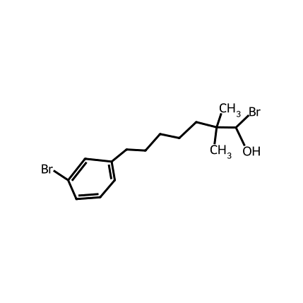 CC(C)(CCCCCc1cccc(Br)c1)C(O)Br